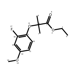 CCOC(=O)C(C)(C)Oc1ccc(OC)cc1F